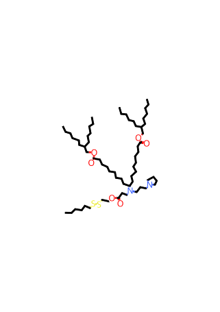 CCCCCCSSCCOC(=O)CCN(CCCN1CCCC1)C(CCCCCCCCC(=O)OCC(CCCCCC)CCCCCC)CCCCCCCCC(=O)OCC(CCCCCC)CCCCCC